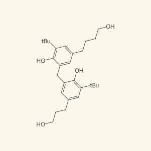 CC(C)(C)c1cc(CCCO)cc(Cc2cc(CCCCO)cc(C(C)(C)C)c2O)c1O